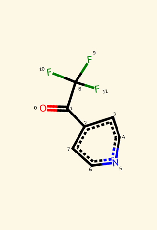 O=C(c1ccncc1)C(F)(F)F